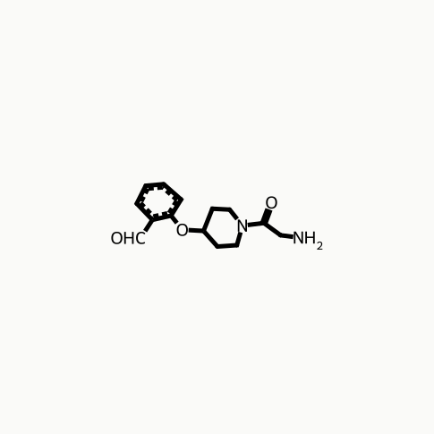 NCC(=O)N1CCC(Oc2ccccc2C=O)CC1